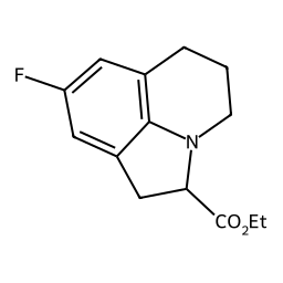 CCOC(=O)C1Cc2cc(F)cc3c2N1CCC3